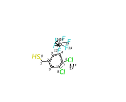 SCc1ccc(Cl)c(Cl)c1.[F][Sb-]([F])([F])([F])([F])[F].[H+]